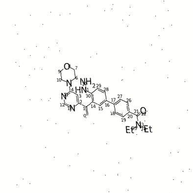 C=C(c1cc(N2CCOCC2)ncn1)c1cc(-c2ccc(C(=O)N(CC)CC)cc2)ccc1NN